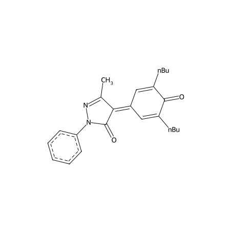 CCCCC1=CC(=C2C(=O)N(c3ccccc3)N=C2C)C=C(CCCC)C1=O